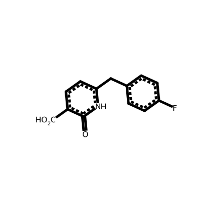 O=C(O)c1ccc(Cc2ccc(F)cc2)[nH]c1=O